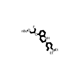 C=C/C=C(\C=C/CN(CC)CC)[C@@H]1C=Cc2c(cccc2OC(CF)COCCCC)N1